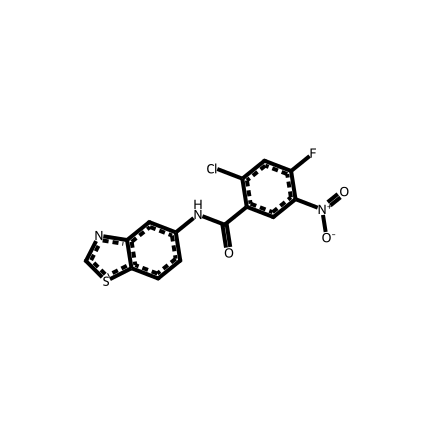 O=C(Nc1ccc2scnc2c1)c1cc([N+](=O)[O-])c(F)cc1Cl